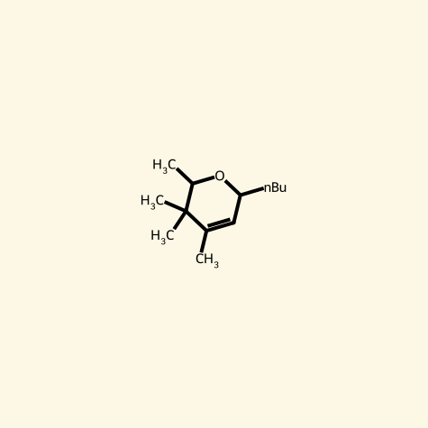 CCCCC1C=C(C)C(C)(C)C(C)O1